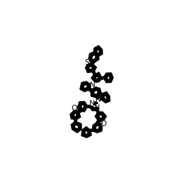 c1ccc(-c2cc(-c3ccc4sc5cc6ccccc6cc5c4c3)cc(-n3c4ccccc4c4cc5c(cc43)c3ccccc3n5-c3nc(-c4ccc5oc6ccc(-c7ccccc7)cc6c5c4)cc(-c4ccc5oc6ccc(-c7ccccc7)cc6c5c4)n3)c2)cc1